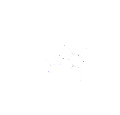 COc1cc(O[N+](=O)[O-])cc(OC)c1OC.N=C(N)N